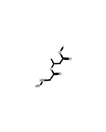 CCCNCC(=O)OC(C)CC(=O)OI